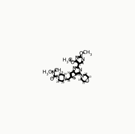 COc1ncc(-c2nc(N3CCOCC3)c3sc(CN4CCN(C(=O)N(C)C)CC4)cc3n2)c(OC)n1